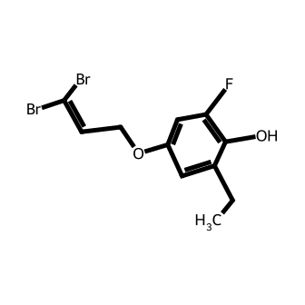 CCc1cc(OCC=C(Br)Br)cc(F)c1O